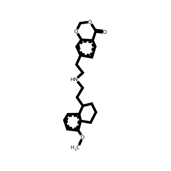 COc1cccc2c1CCCC2CCNCCc1ccc2c(c1)OCOC2=O